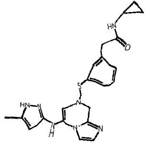 Cc1cc(NC2=CN(Sc3cccc(CC(=O)NC4CC4)c3)CC3=NC=C[N+]23)n[nH]1